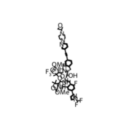 COC(=O)N[C@H](C(=O)N[C@@H](Cc1ccc(C#Cc2ccc(N3CCN(C4COC4)CC3)nc2)cc1)[C@@H](O)CN(Cc1c(F)cc(-c2ccn(C(F)F)n2)cc1F)NC(=O)[C@@H](NC(=O)OC)C(C)(C)C(F)(F)F)C(C)(C)C(F)(F)F